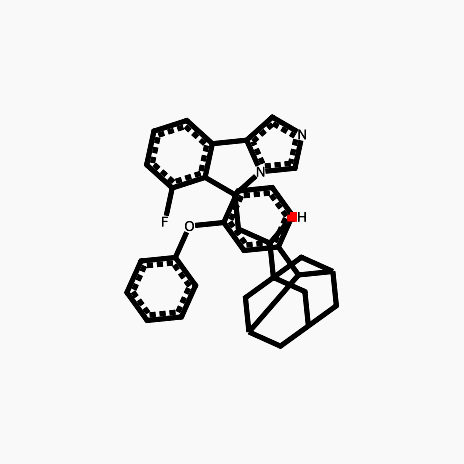 OC(CC1c2c(F)cccc2-c2cncn21)C12CC3CC(C1)C(c1cccc(Oc4ccccc4)c1)C(C3)C2